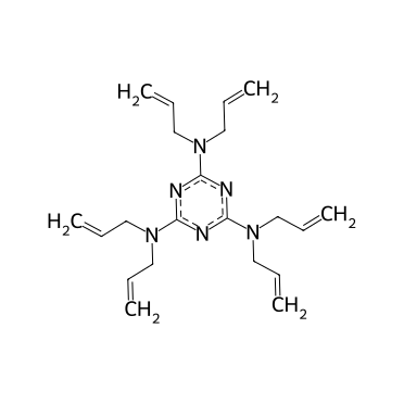 C=CCN(CC=C)c1nc(N(CC=C)CC=C)nc(N(CC=C)CC=C)n1